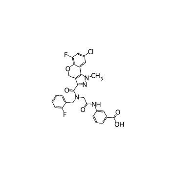 Cn1nc(C(=O)N(CC(=O)Nc2cccc(C(=O)O)c2)Cc2ccccc2F)c2c1-c1cc(Cl)cc(F)c1OC2